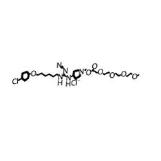 COCCOCCOCCOCC(=O)OC[n+]1ccc(NC(=NC#N)NCCCCCCOc2ccc(Cl)cc2)cc1.[Cl-]